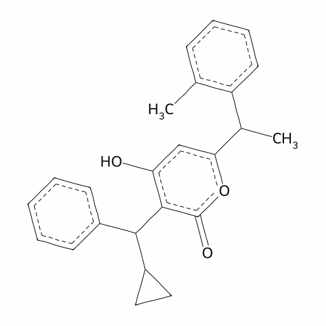 Cc1ccccc1C(C)c1cc(O)c(C(c2ccccc2)C2CC2)c(=O)o1